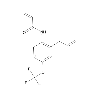 C=CCc1cc(OC(F)(F)F)ccc1NC(=O)C=C